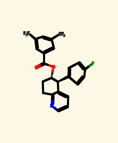 O=C(O[C@H]1CCc2ncccc2[C@@H]1c1ccc(F)cc1)c1cc(C(F)(F)F)cc(C(F)(F)F)c1